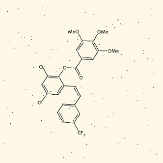 COc1cc(C(=O)Oc2c(Cl)cc(Cl)cc2/C=C\c2cccc(C(F)(F)F)c2)cc(OC)c1OC